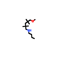 CCCCNCC(C)(C)CC(C)(C)COC